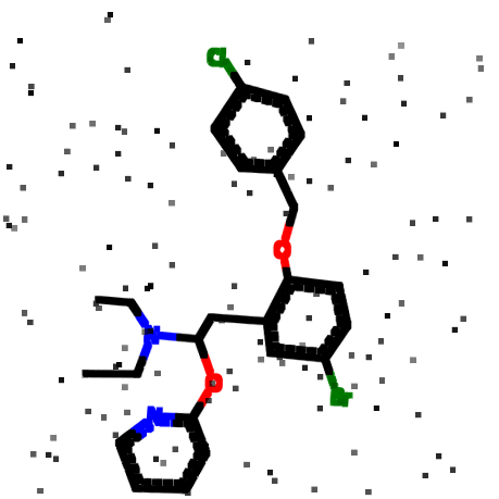 CCN(CC)C(Cc1cc(Br)ccc1OCc1ccc(Cl)cc1)Oc1ccccn1